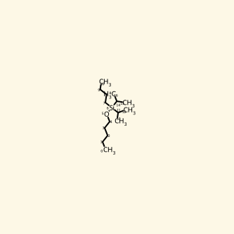 CCCCCO[Si](CCCC)(C(C)C)C(C)C